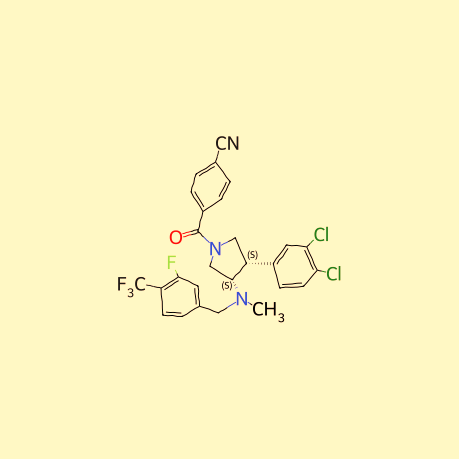 CN(Cc1ccc(C(F)(F)F)c(F)c1)[C@@H]1CN(C(=O)c2ccc(C#N)cc2)C[C@@H]1c1ccc(Cl)c(Cl)c1